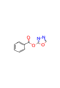 O=C(Oc1nnco1)c1ccccc1